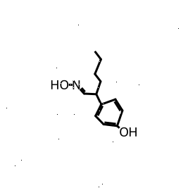 CCCCC(C=NO)c1ccc(O)cc1